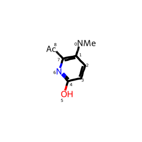 CNc1ccc(O)nc1C(C)=O